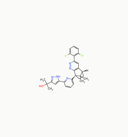 CC(C)(O)c1cc(-c2cccc([C@@]34CC[C@@H](c5cc(-c6c(F)cccc6F)nnc53)C4(C)C)n2)[nH]n1